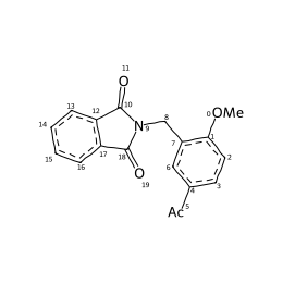 COc1ccc(C(C)=O)cc1CN1C(=O)c2ccccc2C1=O